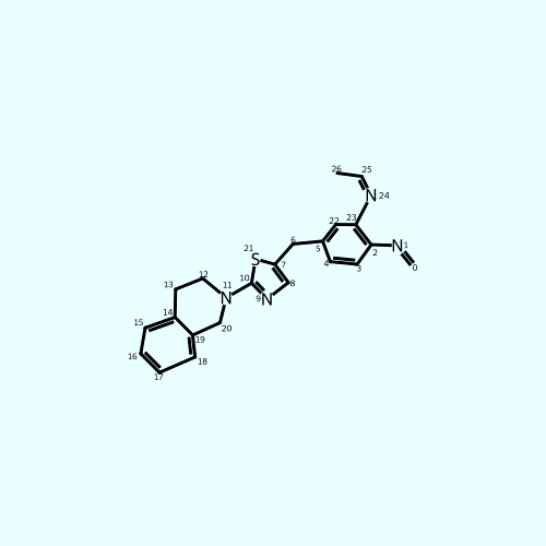 C=Nc1ccc(Cc2cnc(N3CCc4ccccc4C3)s2)cc1/N=C\C